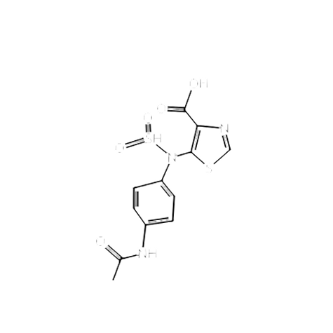 CC(=O)Nc1ccc(N(c2scnc2C(=O)O)[SH](=O)=O)cc1